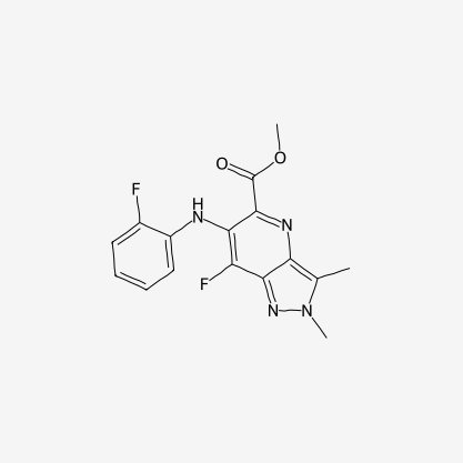 COC(=O)c1nc2c(C)n(C)nc2c(F)c1Nc1ccccc1F